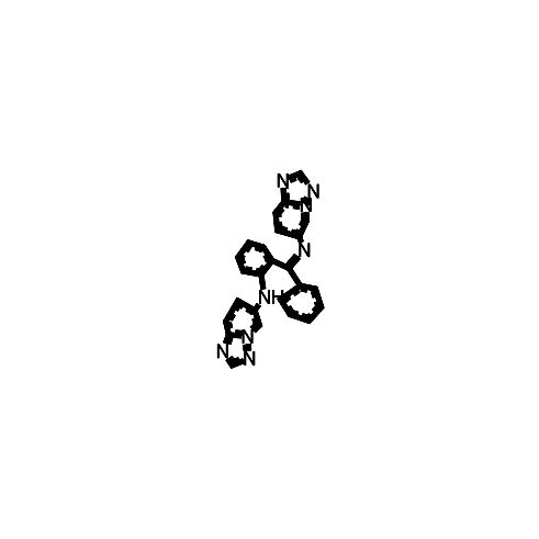 c1ccc(C(=Nc2ccc3ncnn3c2)c2ccccc2Nc2ccc3ncnn3c2)cc1